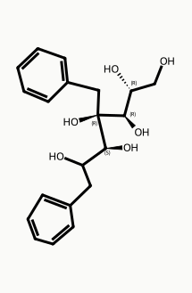 OC[C@@H](O)[C@@H](O)[C@@](O)(Cc1ccccc1)[C@@H](O)C(O)Cc1ccccc1